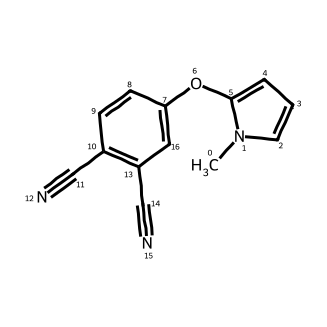 Cn1c[c]cc1Oc1ccc(C#N)c(C#N)c1